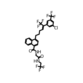 O=C(CNC(=O)c1ccc(CCC/C=C(/c2cc(Cl)cc(C(F)(F)F)c2)C(F)(F)F)c2ccccc12)NCC(F)(F)F